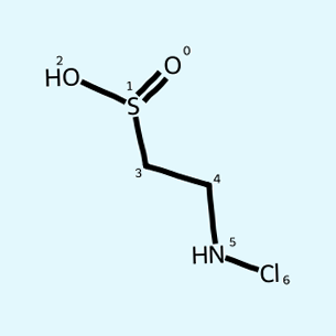 O=S(O)CCNCl